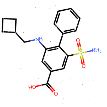 NS(=O)(=O)c1cc(C(=O)O)cc(NCC2CCC2)c1-c1ccccc1